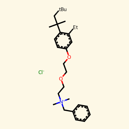 CCc1cc(OCCOCC[N+](C)(C)Cc2ccccc2)ccc1C(C)(C)CC(C)(C)C.[Cl-]